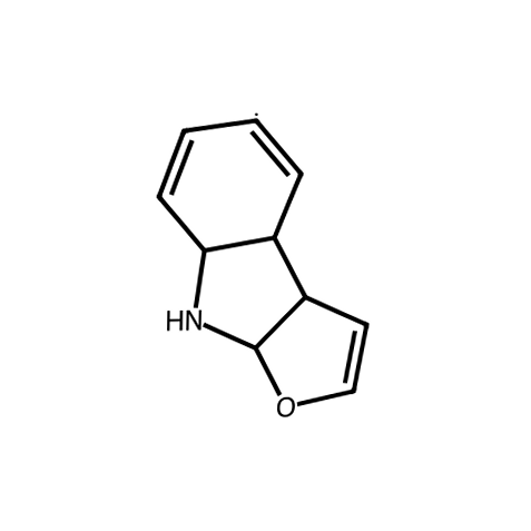 [C]1=CC2C(C=C1)NC1OC=CC12